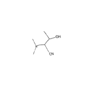 CC(O)C(C#N)N(C)C